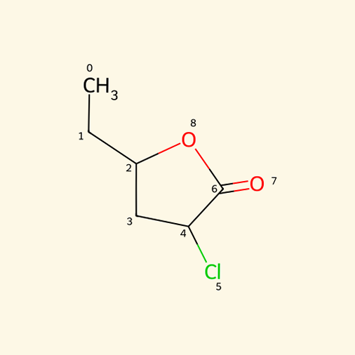 CCC1CC(Cl)C(=O)O1